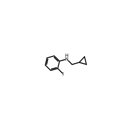 Ic1ccccc1NCC1CC1